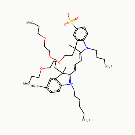 COCCOCCOCCC1(C)C(/C=C/C=C2/N(CCCS(=O)(=O)O)c3ccc(S(=O)(=O)[O-])cc3C2(C)CCOCCOCCOC)=[N+](CCCCCC(=O)O)c2ccc(S(=O)(=O)O)cc21